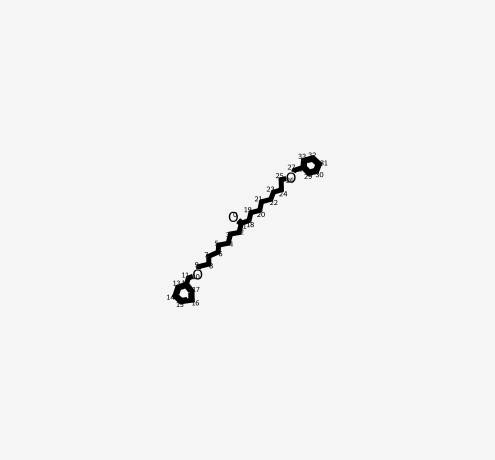 O=C(CCCCCCCCOCc1ccccc1)CCCCCCCCOCc1ccccc1